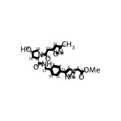 COC(=O)Cn1cc(-c2ccc(CNC(=O)[C@@H]3C[C@@H](O)CN3C(=O)Cc3cc(C)no3)cc2)nn1